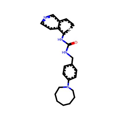 O=C(NCc1ccc(N2CCCCCCC2)cc1)Nc1cccc2cnccc12